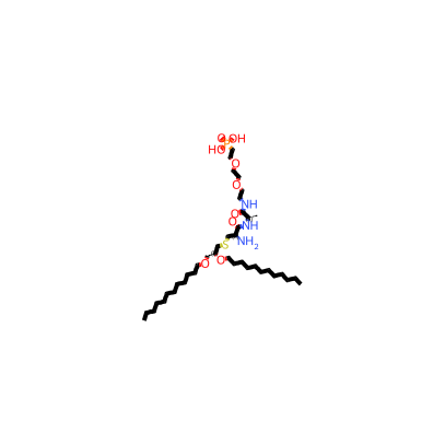 CCCCCCCCCCCCOC[C@H](CSC[C@H](N)C(=O)N[C@@H](C)C(=O)NCCOCCOCCP(=O)(O)O)OCCCCCCCCCCCC